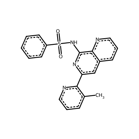 Cc1cccnc1-c1cc2cccnc2c(NS(=O)(=O)c2ccccc2)n1